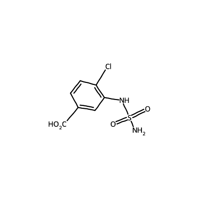 NS(=O)(=O)Nc1cc(C(=O)O)ccc1Cl